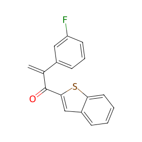 C=C(C(=O)c1cc2ccccc2s1)c1cccc(F)c1